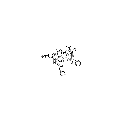 CC(=O)O[C@H]1[C@H](OC(C)=O)[C@@H](COP(=O)(N[C@@H](C)C(=O)OC(C)C)Oc2ccccc2)OC(OC(=O)CN2CCCC2)[C@H]1NC(=O)CN=[N+]=[N-]